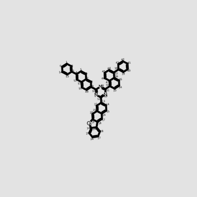 c1ccc(-c2ccc3cc(-c4nc(-c5ccc6cc7c(cc6c5)oc5ccccc57)nc(-c5cccc6c(-c7ccccc7)cccc56)n4)ccc3c2)cc1